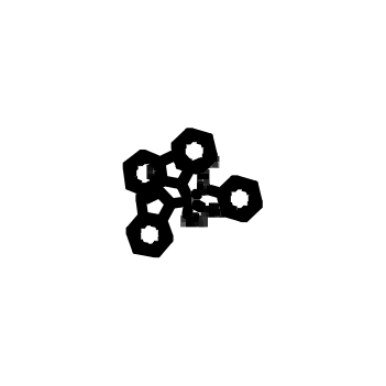 CCC[CH2][Ti]([CH2]CCC)([CH]1C(CC)=Cc2ccccc21)([CH]1C(CC)=Cc2ccccc21)[SiH](c1ccccc1)c1ccccc1